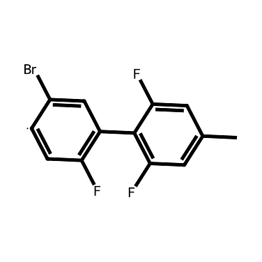 Cc1cc(F)c(-c2cc(Br)[c]cc2F)c(F)c1